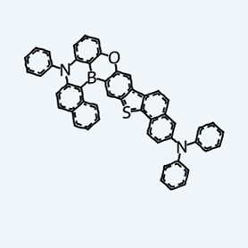 c1ccc(N(c2ccccc2)c2ccc3c(ccc4c5cc6c(cc5sc34)B3c4c(cccc4N(c4ccccc4)c4ccc5ccccc5c43)O6)c2)cc1